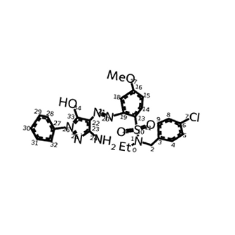 CCN(Cc1ccc(Cl)cc1)S(=O)(=O)c1ccc(OC)cc1/N=N/c1c(N)nn(-c2ccccc2)c1O